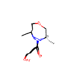 CC1COC[C@H](C)N1C(=O)CO